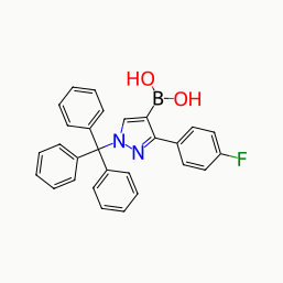 OB(O)c1cn(C(c2ccccc2)(c2ccccc2)c2ccccc2)nc1-c1ccc(F)cc1